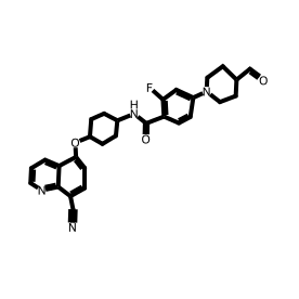 N#Cc1ccc(OC2CCC(NC(=O)c3ccc(N4CCC(C=O)CC4)cc3F)CC2)c2cccnc12